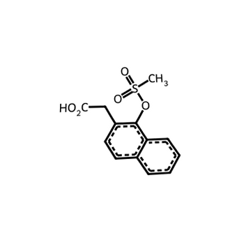 CS(=O)(=O)Oc1c(CC(=O)O)ccc2ccccc12